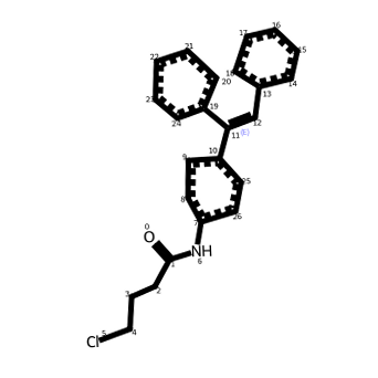 O=C(CCCCl)Nc1ccc(/C(=C/c2ccccc2)c2ccccc2)cc1